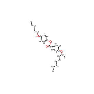 C=CCCCOc1ccc(OC(=O)c2ccc(OC(C)CCCCCC)cc2)cc1